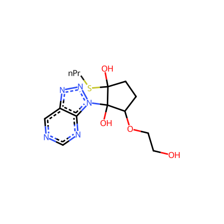 CCCSC1(O)CCC(OCCO)C1(O)n1nnc2cncnc21